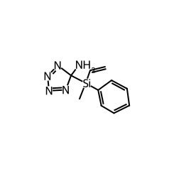 C=C[Si](C)(c1ccccc1)C1(N)N=NN=N1